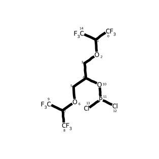 FC(F)(F)C(OCC(COC(C(F)(F)F)C(F)(F)F)OP(Cl)Cl)C(F)(F)F